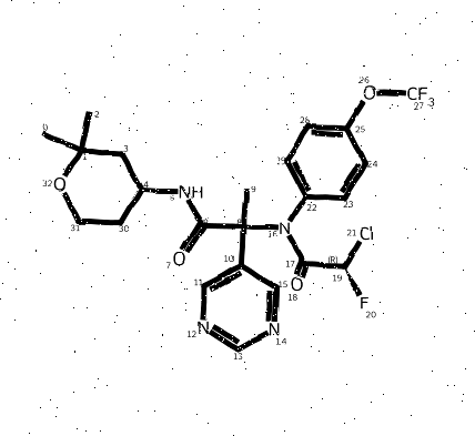 CC1(C)CC(NC(=O)C(C)(c2cncnc2)N(C(=O)[C@H](F)Cl)c2ccc(OC(F)(F)F)cc2)CCO1